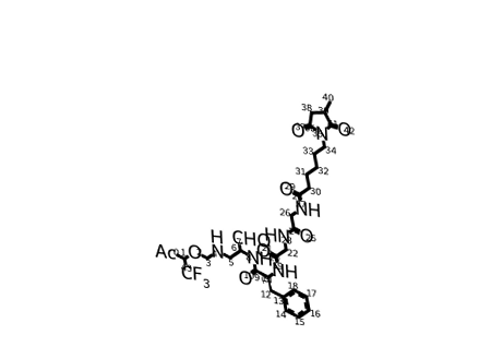 CC(=O)C(OCNCC(C=O)NC(=O)[C@H](Cc1ccccc1)NC(=O)CNC(=O)CNC(=O)CCCCCN1C(=O)CC(C)C1=O)C(F)(F)F